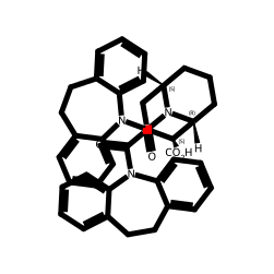 O=C(O)[C@@H]1[C@H]2CCC[C@@H](CN1C(=O)N1c3ccccc3CCc3ccccc31)N2C(=O)N1c2ccccc2CCc2ccccc21